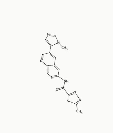 Cc1nnc(C(=O)Nc2cc3cc(-c4cncn4C)cnc3cn2)s1